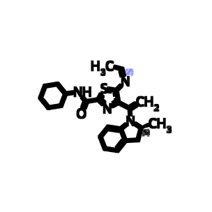 C=C(c1nc(C(=O)NC2CCCCC2)sc1/N=C\C)N1C2=CCCC=C2C[C@@H]1C